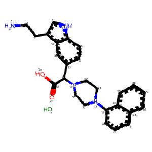 Cl.NCCc1c[nH]c2ccc(C(C(=O)O)N3CCN(c4cccc5ccccc45)CC3)cc12